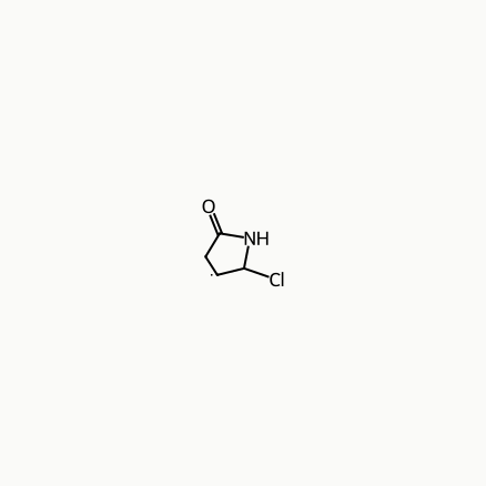 O=C1C[CH]C(Cl)N1